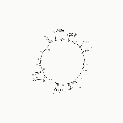 CC(C)(C)CC1CC(C(=O)O)CC(C(C)(C)C)C(=O)CCCOC(=O)C(C(C)(C)C)CC(C(=O)O)CC(CC(C)(C)C)C(=O)OCCCC1=O